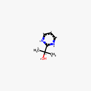 CC(C)(O)c1n[c]ccn1